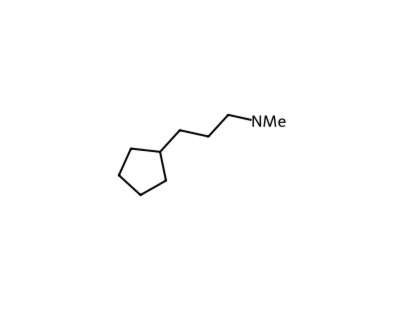 CNCCCC1CCCC1